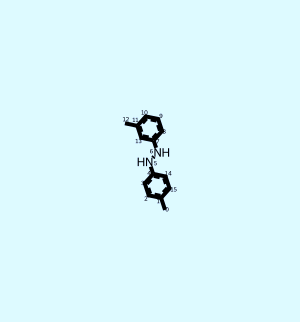 Cc1ccc(NNc2cccc(C)c2)cc1